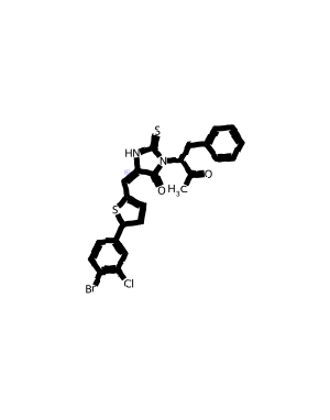 CC(=O)C(Cc1ccccc1)N1C(=O)/C(=C\C2=CCC(c3ccc(Br)c(Cl)c3)S2)NC1=S